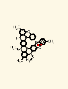 CSN1c2cc3c(cc2B2c4cc5c(cc4N(SC)c4cc(C)cc1c42)Oc1cc(C)cc2c1B5c1ccccc1O2)B1c2ccccc2Oc2cc(C)cc(c21)N3